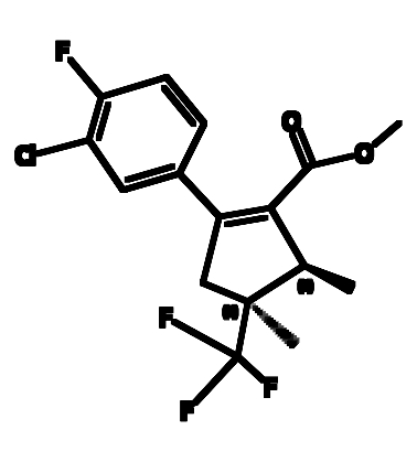 COC(=O)C1=C(c2ccc(F)c(Cl)c2)C[C@](C)(C(F)(F)F)[C@@H]1C